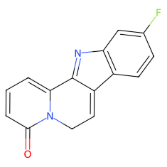 O=c1cccc2n1CC=C1C2=Nc2cc(F)ccc21